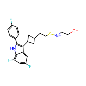 OCCNSCCC1CC(c2c(-c3ccc(F)cc3)[nH]c3c(F)cc(F)cc23)C1